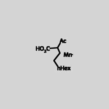 CCCCCCCCC(C(C)=O)C(=O)O.[Mn]